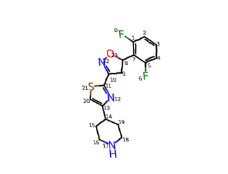 Fc1cccc(F)c1C1CC(c2nc(C3CCNCC3)cs2)=NO1